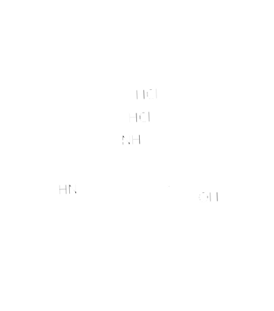 CC(C)(O)C1CNCCN1.Cl.Cl